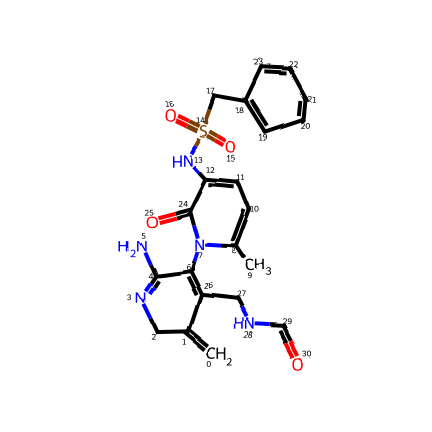 C=C1CN=C(N)C(n2c(C)ccc(NS(=O)(=O)Cc3ccccc3)c2=O)=C1CNC=O